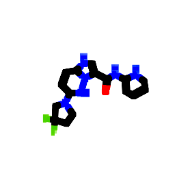 O=C(NC1=CC=CCN1)C1=CNC2C=CC(N3CCC(F)(F)C3)NN12